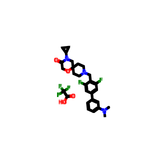 CN(C)c1cccc(-c2cc(F)c(CN3CCC4(CC3)CN(C3CC3)C(=O)CO4)c(F)c2)c1.O=C(O)C(F)(F)F